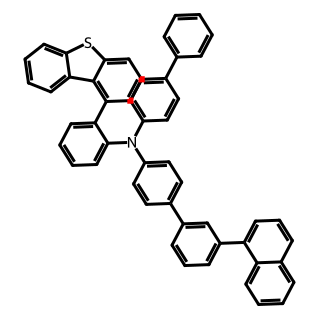 c1ccc(-c2ccc(N(c3ccc(-c4cccc(-c5cccc6ccccc56)c4)cc3)c3ccccc3-c3cccc4sc5ccccc5c34)cc2)cc1